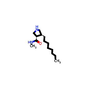 CCCCCCCC[C@H]1CNC[C@H]1C(=O)NC